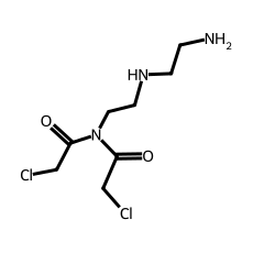 NCCNCCN(C(=O)CCl)C(=O)CCl